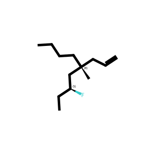 C=CC[C@@](C)(CCCC)C[C@@H](F)CC